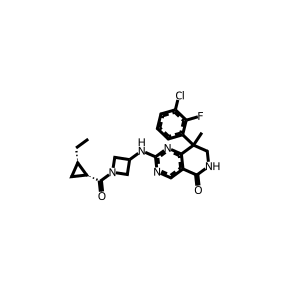 CC[C@H]1C[C@H]1C(=O)N1CC(Nc2ncc3c(n2)C(C)(c2cccc(Cl)c2F)CNC3=O)C1